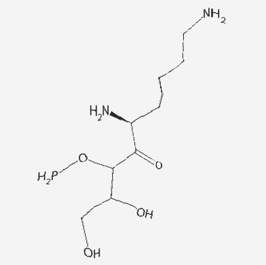 NCCCC[C@H](N)C(=O)C(OP)C(O)CO